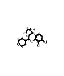 Clc1cccc(O[C@@H](C2CCOCC2)[C@@H]2CCNC2)c1Cl